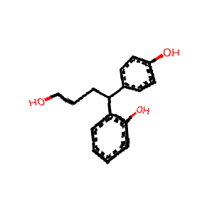 OCCCC(c1ccc(O)cc1)c1ccccc1O